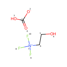 O=C([O-])O.OCC[N+](F)(F)F